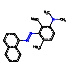 COc1c(N(C)C)ccc(S(=O)(=O)O)c1N=Nc1cccc2ccccc12